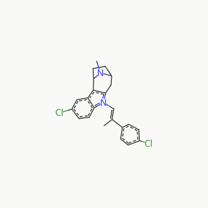 C/C(=C\n1c2c(c3cc(Cl)ccc31)C1CCC(C2)N1C)c1ccc(Cl)cc1